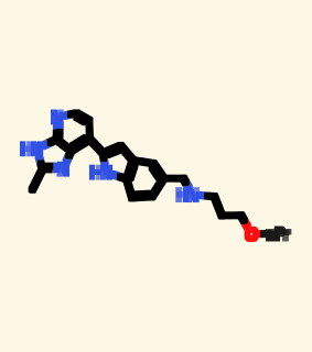 CCCOCCCNCc1ccc2[nH]c(-c3ccnc4[nH]c(C)nc34)cc2c1